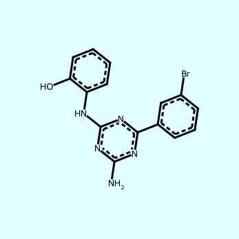 Nc1nc(Nc2ccccc2O)nc(-c2cccc(Br)c2)n1